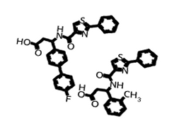 Cc1ccccc1C(CC(=O)O)NC(=O)c1csc(-c2ccccc2)n1.O=C(O)CC(NC(=O)c1csc(-c2ccccc2)n1)c1ccc(-c2ccc(F)cc2)cc1